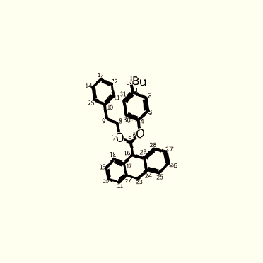 CCC(C)c1ccc(OC(OCCc2ccccc2)C2c3ccccc3Cc3ccccc32)cc1